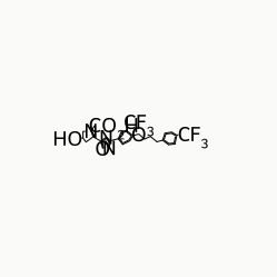 O=C(O)N1C[C@H](O)CC1c1nc(-c2ccc(OCCCc3ccc(C(F)(F)F)cc3)c(C(F)(F)F)c2)no1